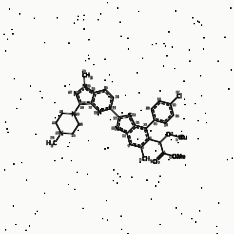 COC(=O)C(OC(C)(C)C)c1c(C)cc2nc(-c3ccc4c(n3)c(N3CCN(C)CC3)nn4C)sc2c1-c1ccc(Cl)cc1